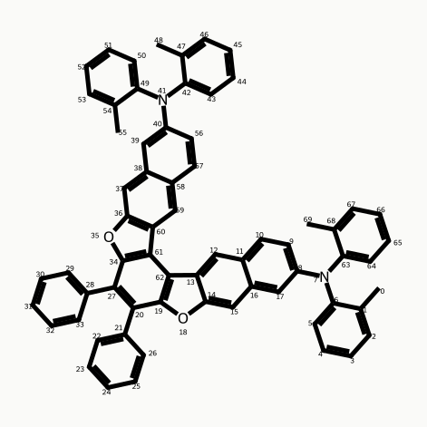 Cc1ccccc1N(c1ccc2cc3c(cc2c1)oc1c(-c2ccccc2)c(-c2ccccc2)c2oc4cc5cc(N(c6ccccc6C)c6ccccc6C)ccc5cc4c2c13)c1ccccc1C